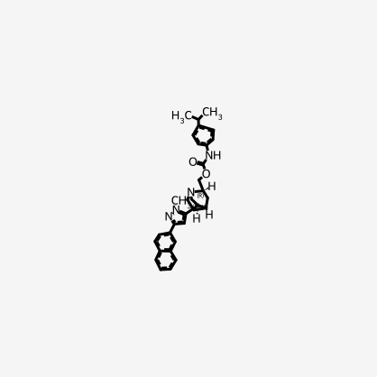 CC(C)c1ccc(NC(=O)OC[C@H]2C[C@@H]3CCN2C[C@@H]3c2cc(-c3ccc4ccccc4c3)nn2C)cc1